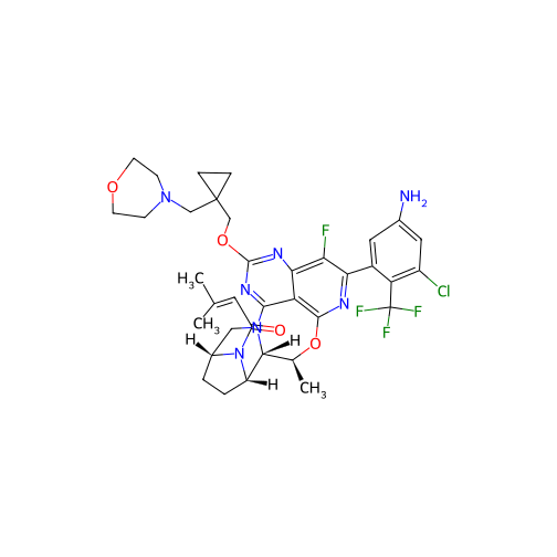 CC(C)=CC(=O)N1[C@@H]2CC[C@H]1[C@H]1[C@H](C)Oc3nc(-c4cc(N)cc(Cl)c4C(F)(F)F)c(F)c4nc(OCC5(CN6CCOCC6)CC5)nc(c34)N1C2